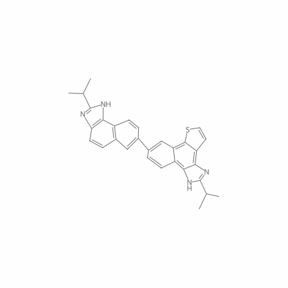 CC(C)c1nc2ccc3cc(-c4ccc5c(c4)c4sccc4c4nc(C(C)C)[nH]c54)ccc3c2[nH]1